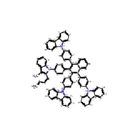 C=C/C=C\c1c(C)c2ccccc2n1-c1ccc(-c2c(-c3ccc(-n4c5ccccc5c5ccccc54)cc3)c(-c3ccc(-n4c5ccccc5c5ccccc54)cc3)c3ccccc3c2-c2ccc(-n3c4ccccc4c4ccccc43)cc2)cc1